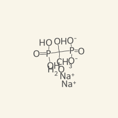 CC(O)(P(=O)([O-])[O-])P(=O)(O)O.O.[Na+].[Na+]